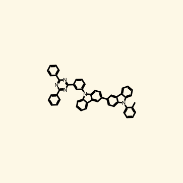 Cc1ccccc1-n1c2ccccc2c2cc(-c3ccc4c(c3)c3ccccc3n4-c3cccc(-c4nc(-c5ccccc5)nc(-c5ccccc5)n4)c3)ccc21